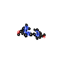 c1ccc([Si](c2ccccc2)(c2ccc3oc4ccccc4c3c2)c2nc(-n3c4ccccc4c4ccccc43)cc(-n3c4ccccc4c4cc(-c5ccc6c(c5)nc5n(-c7cc(-n8c9ccccc9n9c%10ccccc%10nc89)nc([Si](c8ccccc8)(c8ccccc8)c8ccc9oc%10ccccc%10c9c8)n7)c7ccccc7n65)ccc43)n2)cc1